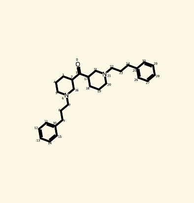 O=C(C1CCCN(CCCc2ccccc2)C1)C1CCCN(CCCc2ccccc2)C1